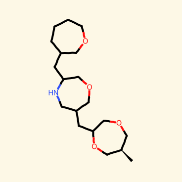 C[C@@H]1COCC(CC2CNC(CC3CCCCOC3)COC2)OC1